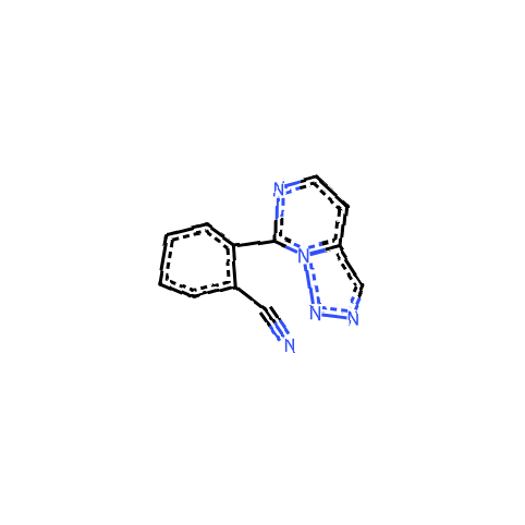 N#Cc1ccccc1-c1nccc2cnnn12